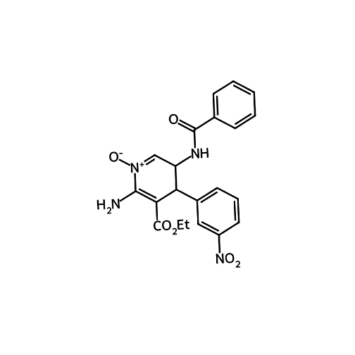 CCOC(=O)C1=C(N)[N+]([O-])=CC(NC(=O)c2ccccc2)C1c1cccc([N+](=O)[O-])c1